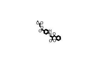 COC(=O)COC(=O)c1ccc(NC=C2C(=O)Oc3ccccc3C2=O)cc1